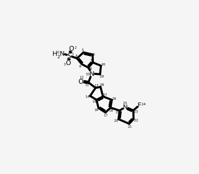 NS(=O)(=O)c1ccc2c(c1)N(C(=O)C1Cc3ccc(-c4cccc(F)n4)cc3C1)CC2